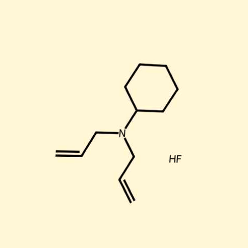 C=CCN(CC=C)C1CCCCC1.F